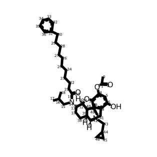 CC(=O)Oc1cc(O)c2c3c1O[C@H]1[C@@H](N(CC(C)C)C(=O)CCCCCCCCCCc4ccccc4)CC[C@H]4[C@@H](C2)N(CC2CC2)CC[C@@]341